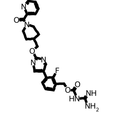 N=C(N)NC(=O)OCc1cccc(-c2cnc(OCC3CCN(C(=O)c4ccccn4)CC3)nc2)c1F